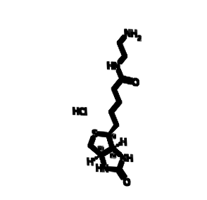 Cl.NCCNC(=O)CCCC[C@@H]1SC[C@@H]2NC(=O)N[C@@H]21